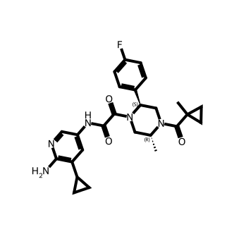 C[C@@H]1CN(C(=O)C(=O)Nc2cnc(N)c(C3CC3)c2)[C@@H](c2ccc(F)cc2)CN1C(=O)C1(C)CC1